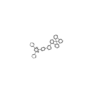 C1=CC(c2cc(C3=CCCC=C3)nc(-c3ccc(-c4cccc(-c5cccc6c5-c5ccccc5C65c6ccccc6-c6ccccc65)c4)cc3)n2)=CCC1